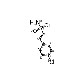 NS(=O)(=O)C=Cc1ccc(Cl)cn1